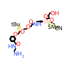 CSS[C@H](CSC#N)OC1C(BC#CCNC(=O)COCCOC(COc2cccc(C(=O)NCCN)c2)SSC(C)(C)C)OC1CO